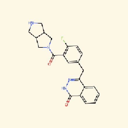 O=C(c1cc(Cc2n[nH]c(=O)c3ccccc23)ccc1F)N1CC2CNCC2C1